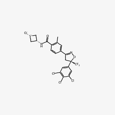 Cc1cc(C2=NO[C@@](c3cc(Cl)c(Cl)c(Cl)c3)(C(F)(F)F)C2)ccc1C(=O)N[C@H]1C[S@@+]([O-])C1